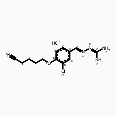 Cl.N#CCCCCOc1ccc(C=NN=C(N)N)cc1Cl